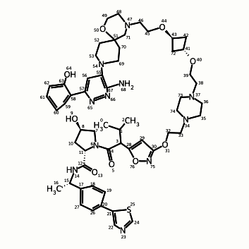 CC(C)C(C(=O)N1C[C@H](O)C[C@H]1C(=O)N[C@@H](C)c1ccc(-c2cncs2)cc1)c1cc(OCCN2CCN(CCO[C@H]3C[C@H](OCCN4CCOC5(CCN(c6cc(-c7ccccc7O)nnc6N)CC5)C4)C3)CC2)no1